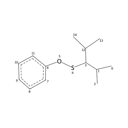 CC(C)C(SOc1ccccc1)C(C)C